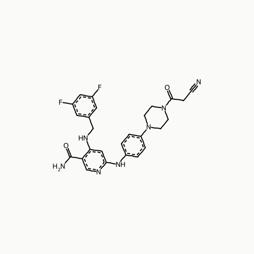 N#CCC(=O)N1CCN(c2ccc(Nc3cc(NCc4cc(F)cc(F)c4)c(C(N)=O)cn3)cc2)CC1